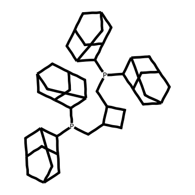 C1C2CC3CC1CC(C2)C3P(CC1CCC1CP(C1C2CC3CC(C2)CC1C3)C1C2CC3CC(C2)CC1C3)C1C2CC3CC(C2)CC1C3